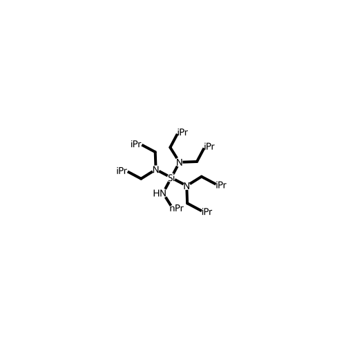 CCCN[Si](N(CC(C)C)CC(C)C)(N(CC(C)C)CC(C)C)N(CC(C)C)CC(C)C